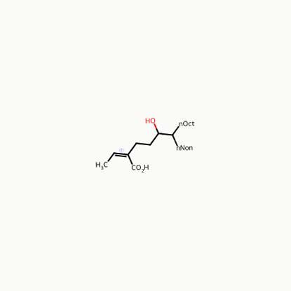 C/C=C(/CCC(O)C(CCCCCCCC)CCCCCCCCC)C(=O)O